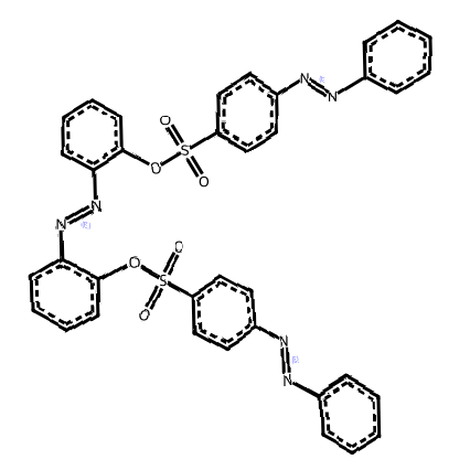 O=S(=O)(Oc1ccccc1/N=N/c1ccccc1OS(=O)(=O)c1ccc(/N=N/c2ccccc2)cc1)c1ccc(/N=N/c2ccccc2)cc1